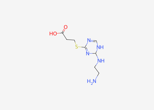 NCCNC1N=C(SCCC(=O)O)N=CN1